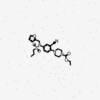 CCCS(=O)(=O)N(Cc1ccco1)c1ccc(N2CCN(C(=O)OCC)CC2)c(C#N)c1